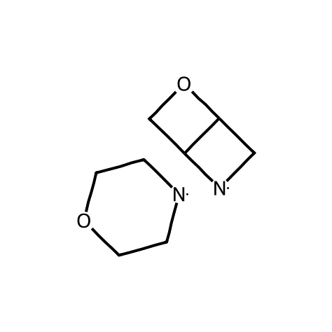 C1COCC[N]1.C1OC2C[N]C12